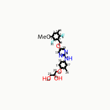 COc1cc(C)c(F)c(COc2cnc(Nc3ccc(OCC(O)CO)c(C)c3)nc2)c1F